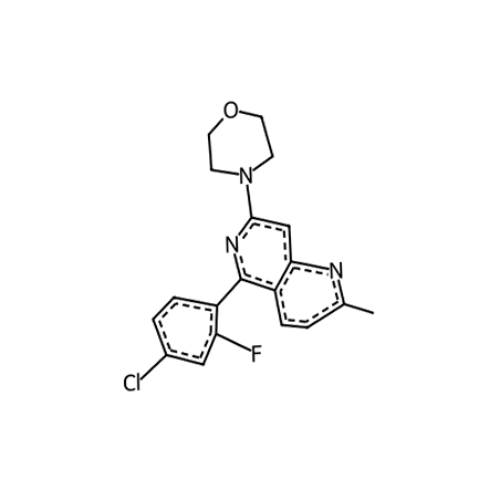 Cc1ccc2c(-c3ccc(Cl)cc3F)nc(N3CCOCC3)cc2n1